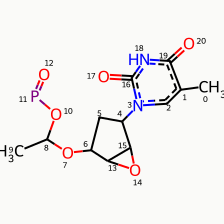 Cc1cn(C2CC(OC(C)OP=O)C3OC32)c(=O)[nH]c1=O